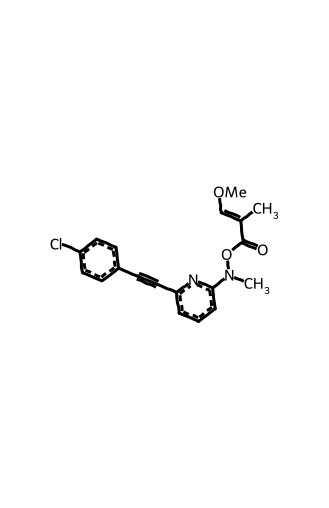 COC=C(C)C(=O)ON(C)c1cccc(C#Cc2ccc(Cl)cc2)n1